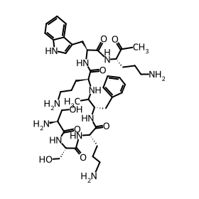 CC(=O)[C@H](CCCN)NC(=O)[C@H](Cc1c[nH]c2ccccc12)NC(=O)[C@H](CCCN)NC(C)[C@H](Cc1ccccc1)NC(=O)[C@H](CCCN)NC(=O)[C@H](CO)NC(=O)[C@@H](N)CO